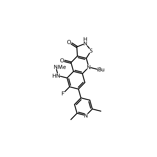 CCC(C)n1c2cc(-c3cc(C)nc(C)c3)c(F)c(NNC)c2c(=O)c2c(=O)[nH]sc21